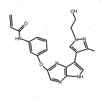 C=CC(=O)Nc1cccc(Oc2cnc3[nH]cc(-c4cn(CCO)nc4C)c3n2)c1